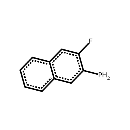 Fc1cc2ccccc2cc1P